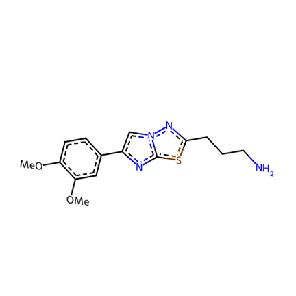 COc1ccc(-c2cn3nc(CCCN)sc3n2)cc1OC